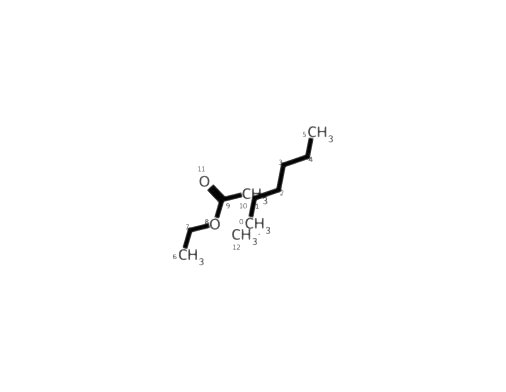 CCCCCC.CCOC(C)=O.[CH3]